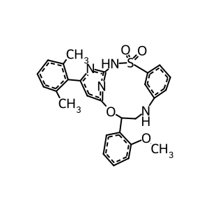 COc1ccccc1C1CNc2cccc(c2)S(=O)(=O)Nc2nc(cc(-c3c(C)cccc3C)n2)O1